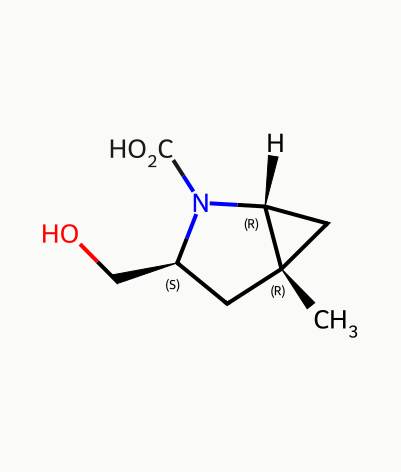 C[C@@]12C[C@@H](CO)N(C(=O)O)[C@@H]1C2